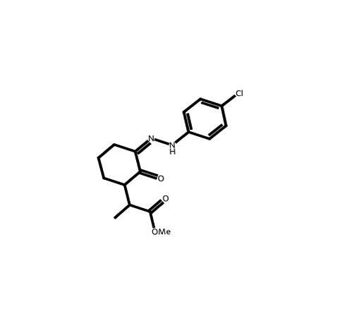 COC(=O)C(C)C1CCC/C(=N/Nc2ccc(Cl)cc2)C1=O